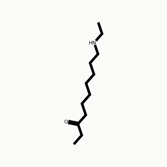 CCNCCCCCCCC(=O)CC